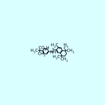 Cc1cc2c(cc1SNc1ccc(C(C)(C)C(=O)O)cc1)C(C)(C)CCC2(C)C